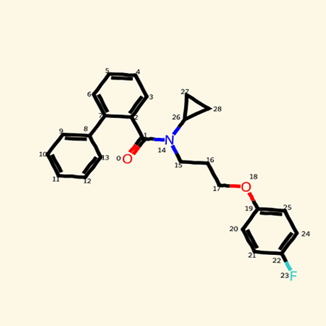 O=C(c1ccccc1-c1ccccc1)N(CCCOc1ccc(F)cc1)C1CC1